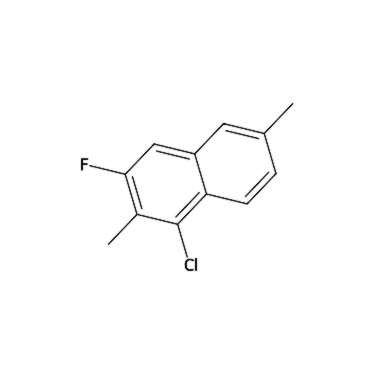 Cc1ccc2c(Cl)c(C)c(F)cc2c1